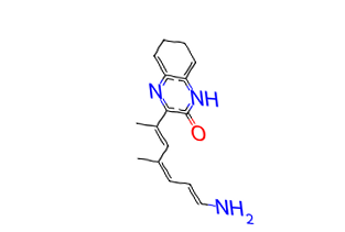 CC(=C/C=C/N)/C=C(\C)c1nc2c([nH]c1=O)=CCCC=2